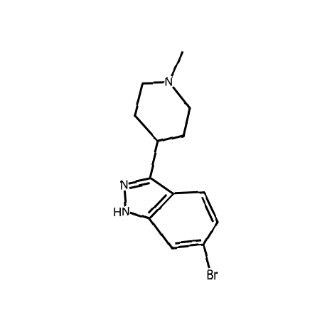 CN1CCC(c2n[nH]c3cc(Br)ccc23)CC1